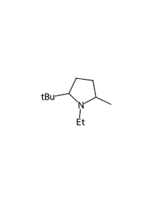 CCN1C(C)CCC1C(C)(C)C